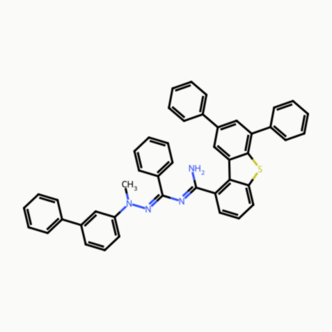 CN(/N=C(/N=C(\N)c1cccc2sc3c(-c4ccccc4)cc(-c4ccccc4)cc3c12)c1ccccc1)c1cccc(-c2ccccc2)c1